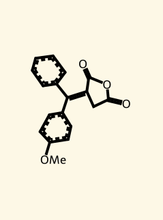 COc1ccc(/C(=C2\CC(=O)OC2=O)c2ccccc2)cc1